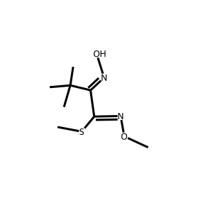 CON=C(SC)C(=NO)C(C)(C)C